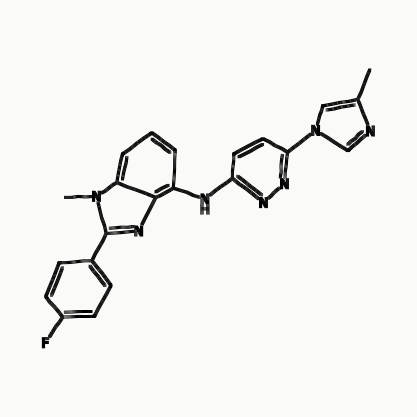 Cc1cn(-c2ccc(Nc3cccc4c3nc(-c3ccc(F)cc3)n4C)nn2)cn1